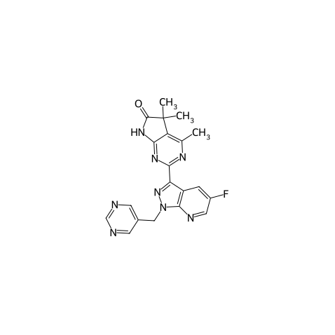 Cc1nc(-c2nn(Cc3cncnc3)c3ncc(F)cc23)nc2c1C(C)(C)C(=O)N2